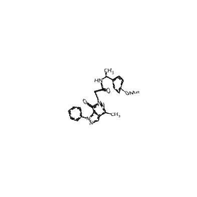 COc1ccc([C@H](C)NC(=O)Cn2nc(C)c3cnn(-c4ccccc4)c3c2=O)cc1